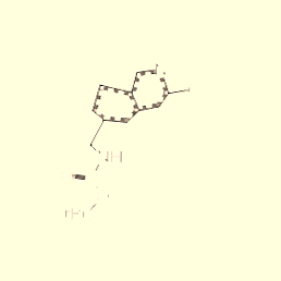 C[C@@H](NS(=O)OC(C)(C)C)c1ccc2cnc(Cl)cc2c1